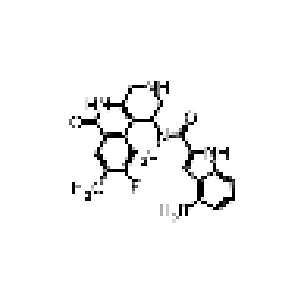 Bc1cccc2[nH]c(C(=O)N(C)C3CNCc4[nH]c(=O)c5cc(C)c(F)cc5c43)cc12